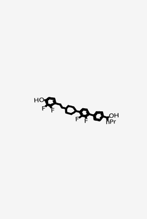 CCCC(O)c1ccc(-c2ccc(C3CCC(CCc4ccc(O)c(F)c4F)CC3)c(F)c2F)cc1